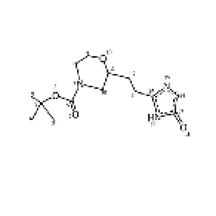 CC(C)(C)OC(=O)N1CCOC(CCc2nsc(=O)[nH]2)C1